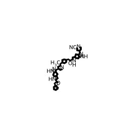 CC(c1ccc(CC(=O)c2cc3cc4c(-c5ccnc(C#N)c5)n[nH]c4cc3[nH]2)cc1)c1cc(-c2n[nH]c3cc4[nH]c(C(=O)Cc5ccccc5)cc4cc23)ccn1